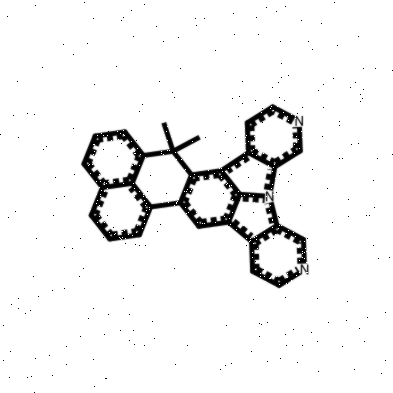 CC1(C)c2cccc3cccc(c23)-c2cc3c4ccncc4n4c5cnccc5c(c21)c34